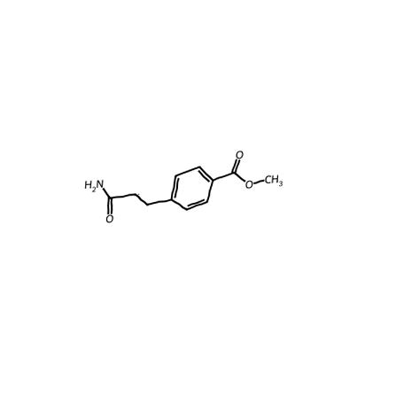 COC(=O)c1ccc(C[CH]C(N)=O)cc1